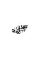 O=C1CCC(N2C(=O)c3cc(F)c(N4CC5CC(C4)N5)c(F)c3C2=O)C(=O)N1